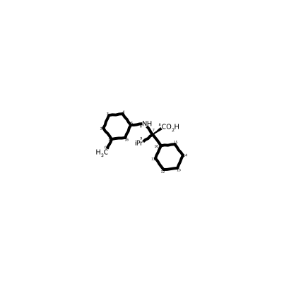 CC1CCCC(N[C@@](C(=O)O)(C(C)C)C2CCCCC2)C1